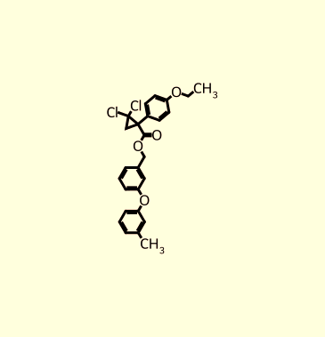 CCOc1ccc(C2(C(=O)OCc3cccc(Oc4cccc(C)c4)c3)CC2(Cl)Cl)cc1